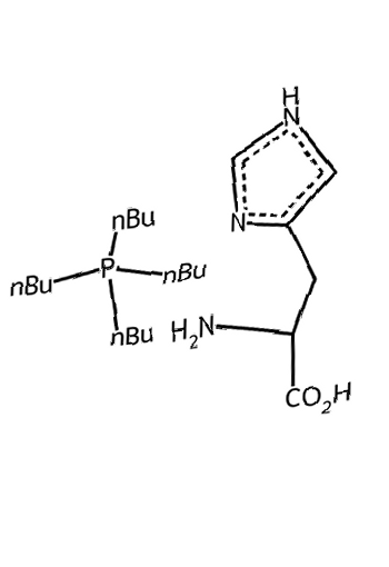 CCCC[P](CCCC)(CCCC)CCCC.NC(Cc1c[nH]cn1)C(=O)O